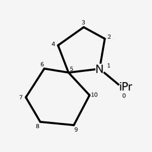 CC(C)N1CCCC12CCCCC2